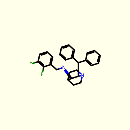 Fc1cccc(C/N=C2\C3CCN(CC3)C2C(c2ccccc2)c2ccccc2)c1F